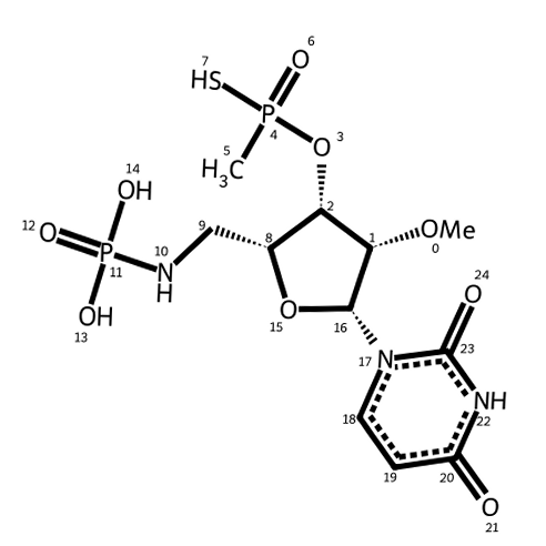 CO[C@H]1[C@@H](OP(C)(=O)S)[C@@H](CNP(=O)(O)O)O[C@H]1n1ccc(=O)[nH]c1=O